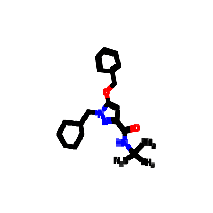 BC(B)(B)NC(=O)c1cc(OCc2ccccc2)n(CC2CCCCC2)n1